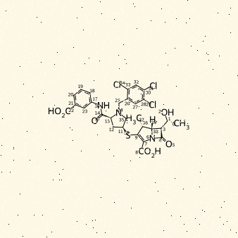 C[C@@H](O)[C@H]1C(=O)N2C(C(=O)O)=C(S[C@H]3C[C@@H](C(=O)Nc4cccc(C(=O)O)c4)N(Cc4cc(Cl)c(Cl)cc4Cl)C3)[C@H](C)[C@H]12